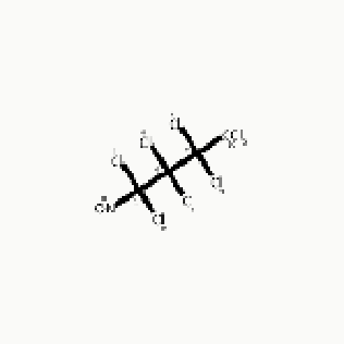 O=NC(Cl)(Cl)C(Cl)(Cl)C(Cl)(Cl)C(Cl)(Cl)Cl